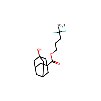 O=C(OCCCC(F)(F)S(=O)(=O)O)C12CC3CC(CC(O)(C3)C1)C2